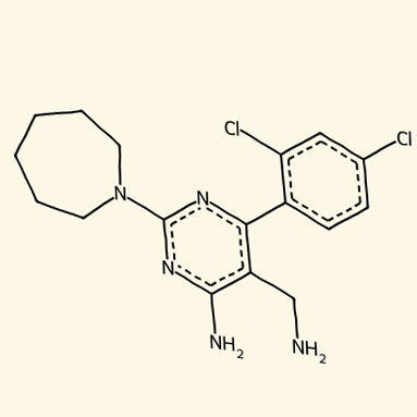 NCc1c(N)nc(N2CCCCCC2)nc1-c1ccc(Cl)cc1Cl